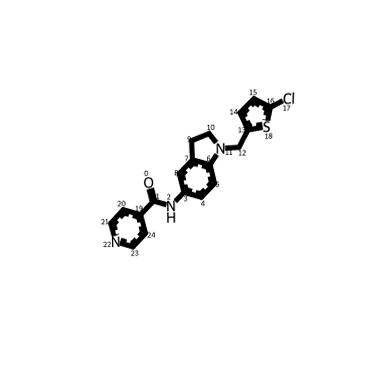 O=C(Nc1ccc2c(c1)CCN2Cc1ccc(Cl)s1)c1ccncc1